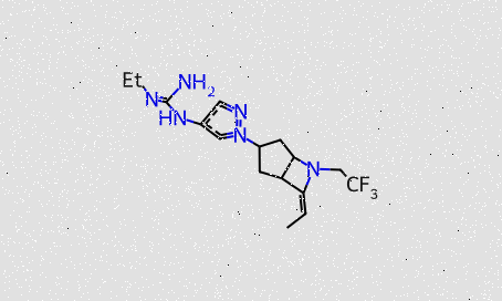 C/C=C1\C2CC(n3cc(N/C(N)=N/CC)cn3)CC2N1CC(F)(F)F